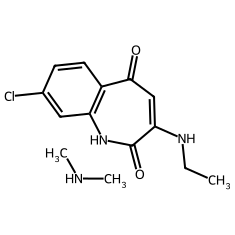 CCNc1cc(=O)c2ccc(Cl)cc2[nH]c1=O.CNC